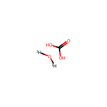 O=C(O)O.[2H]O[2H]